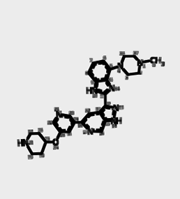 CN1CCN(c2cccc3[nH]c(-c4n[nH]c5cnc(-c6cncc(OC7CCNCC7)c6)cc45)nc23)CC1